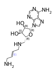 NC/C=C/CNC[C@H]1O[C@@H](n2cnc3c(N)ncnc32)[C@H](O)[C@@H]1O